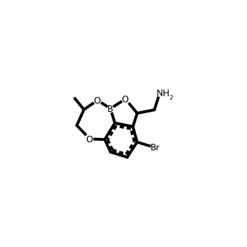 CC1COc2ccc(Br)c3c2B(O1)OC3CN